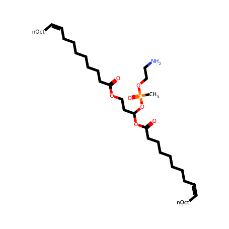 CCCCCCCC/C=C\CCCCCCCC(=O)OCCC(OC(=O)CCCCCCC/C=C\CCCCCCCC)OP(C)(=O)OCCN